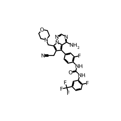 N#CCc1c(-c2ccc(NC(=O)Nc3cc(C(F)(F)F)ccc3F)c(F)c2)c2c(N)ncnn2c1CN1CCOCC1